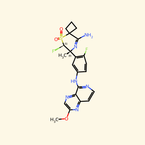 COc1cnc2c(Nc3ccc(F)c([C@@]4(C)N=C(N)C5(CCC5)S(=O)(=O)[C@@H]4F)c3)nccc2n1